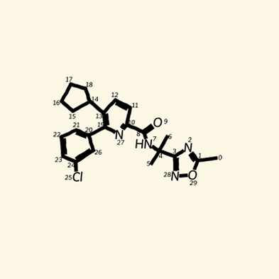 Cc1nc(C(C)(C)NC(=O)c2ccc(C3CCCC3)c(-c3cccc(Cl)c3)n2)no1